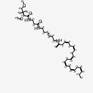 C=C(C/C=C\C/C=C\C/C=C\C/C=C\C/C=C\C/C=C\CC)NCCSSCCNC(=O)CCNC(=O)[C@H](OI)C(C)(C)COC